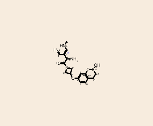 CN/C=C(\C=N)C(N)C(=O)N1CC(Oc2ccc3c(c2)OB(O)CC3)C1